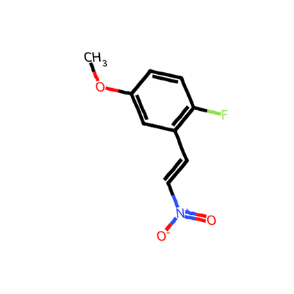 COc1ccc(F)c(/C=C/[N+](=O)[O-])c1